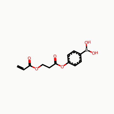 C=CC(=O)OCCC(=O)Oc1ccc(B(O)O)cc1